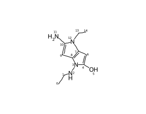 CCNn1c(O)cc2c1cc(N)n2CC